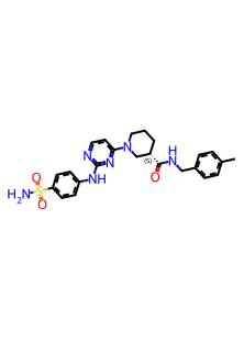 Cc1ccc(CNC(=O)[C@H]2CCCN(c3ccnc(Nc4ccc(S(N)(=O)=O)cc4)n3)C2)cc1